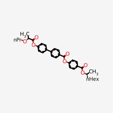 CCCCCC[C@H](C)OC(=O)c1ccc(OC(=O)c2ccc(-c3ccc(OC(=O)C(C)OCCC)cc3)cc2)cc1